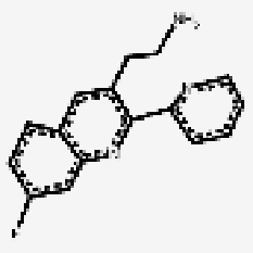 NCCc1cc2ccc(F)cc2nc1-c1ccccn1